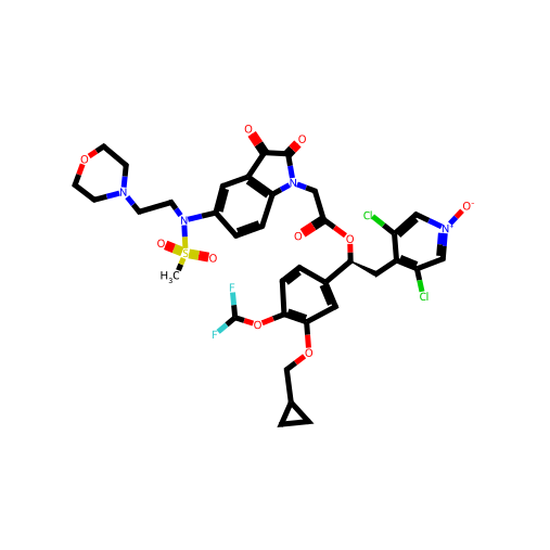 CS(=O)(=O)N(CCN1CCOCC1)c1ccc2c(c1)C(=O)C(=O)N2CC(=O)O[C@@H](Cc1c(Cl)c[n+]([O-])cc1Cl)c1ccc(OC(F)F)c(OCC2CC2)c1